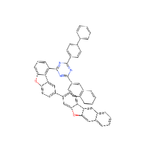 C1=Cc2cc(-c3nc(-c4ccc(-c5ccccc5)cc4)nc(-c4cccc5oc6ccc(-c7ccc8c(c7)oc7cc9ccccc9cc78)cc6c45)n3)ccc2CC1